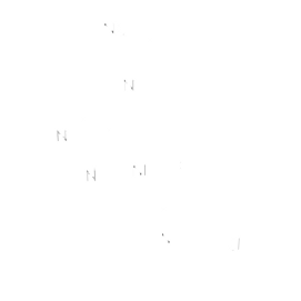 Cc1ccc(N2CCc3ncnc(NCc4ncc(Cl)cc4Cl)c3C2)c(C#N)c1